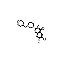 Cn1c([C@@H]2CCCN(CC3CCOCC3)C2)nc2cc(Cl)c(Cl)cc2c1=O